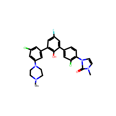 Cn1ccn(-c2ccc(-c3cc(F)cc(-c4cc(Cl)cc(N5CCN(C(C)(C)C)CC5)c4)c3O)cc2Cl)c1=O